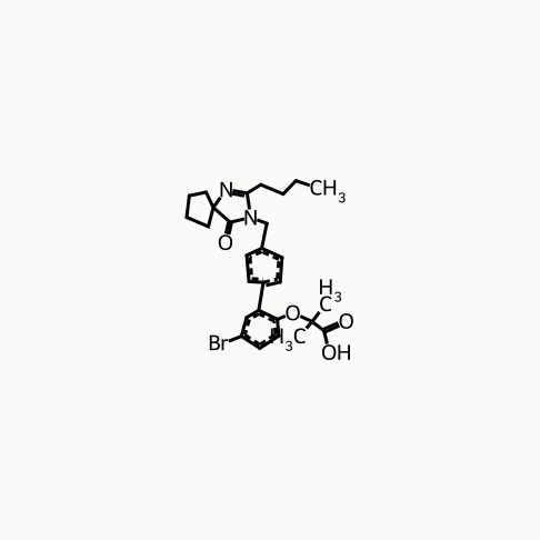 CCCCC1=NC2(CCCC2)C(=O)N1Cc1ccc(-c2cc(Br)ccc2OC(C)(C)C(=O)O)cc1